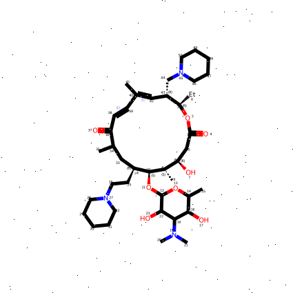 CC[C@H]1OC(=O)C[C@@H](O)[C@H](C)[C@@H](OC2OC(C)C(O)C(N(C)C)C2O)[C@@H](CCN2CCCCC2)CC(C)C(=O)/C=C/C(C)=C/[C@@H]1CN1CCCCC1